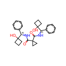 O=C(N[C@H](c1ccccc1)C1(O)CCC1)C1(C(=O)N[C@H](c2ccccc2)C2(O)CCC2)CC1